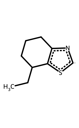 CCC1CCCc2n[c]sc21